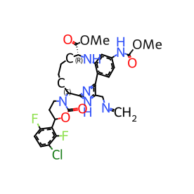 C=NCc1[nH]c2nc1-c1ccc(NC(=O)OC)cc1N[C@@H](C(=O)OC)CCCC[C@@H]2N1CCC(c2c(F)ccc(Cl)c2F)OC1=O